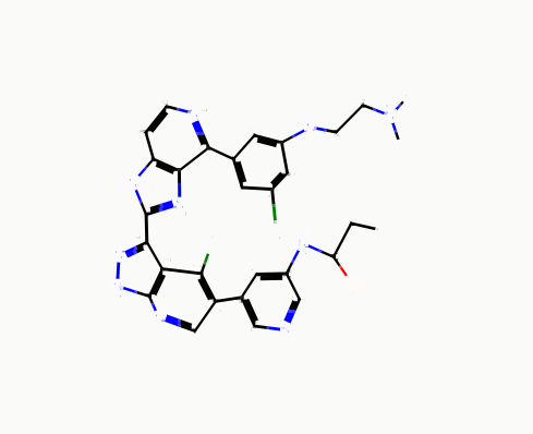 CCC(O)Nc1cncc(-c2cnc3[nH]nc(-c4nc5c(-c6cc(F)cc(NCCN(C)C)c6)nccc5[nH]4)c3c2F)c1